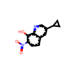 O=[N+]([O-])c1ccc2cc(C3CC3)cnc2c1O